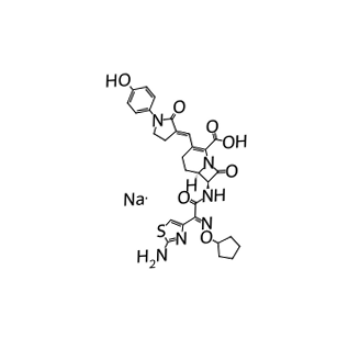 Nc1nc(C(=NOC2CCCC2)C(=O)N[C@@H]2C(=O)N3C(C(=O)O)=C(C=C4CCN(c5ccc(O)cc5)C4=O)CC[C@H]23)cs1.[Na]